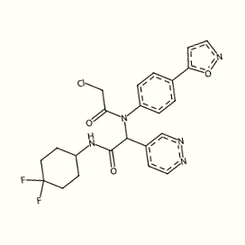 O=C(NC1CCC(F)(F)CC1)C(c1ccnnc1)N(C(=O)CCl)c1ccc(-c2ccno2)cc1